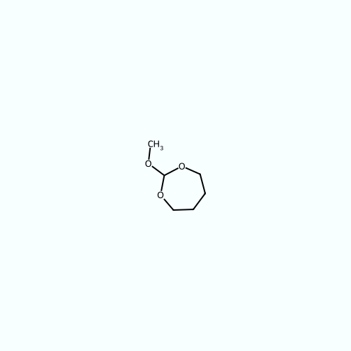 COC1OCCCCO1